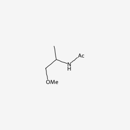 COCC(C)NC(C)=O